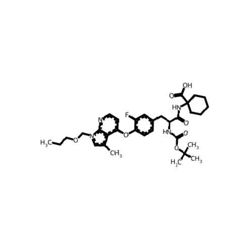 CCCOCn1cc(C)c2c(Oc3ccc(CC(NC(=O)OC(C)(C)C)C(=O)NC4(C(=O)O)CCCCC4)cc3F)ccnc21